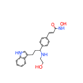 O=C(/C=C/c1ccc(C(CCc2c[nH]c3ccccc23)NCCO)cc1)NO